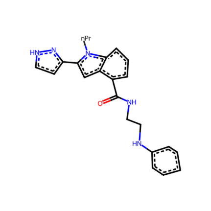 CCCn1c(-c2cc[nH]n2)cc2c(C(=O)NCCNc3ccccc3)cccc21